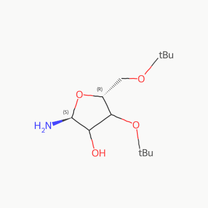 CC(C)(C)OC[C@H]1O[C@H](N)C(O)C1OC(C)(C)C